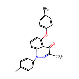 Bc1ccc(Oc2cccc3c2c(=O)c(C(=O)O)nn3-c2ccc(C)cc2)cc1